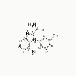 CC(N)c1nc2cccc(Br)c2n1-c1cncc(F)c1